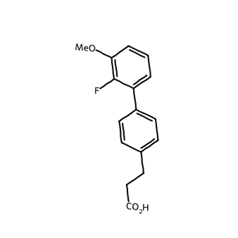 COc1cccc(-c2ccc(CCC(=O)O)cc2)c1F